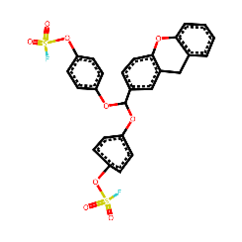 O=S(=O)(F)Oc1ccc(OC(Oc2ccc(OS(=O)(=O)F)cc2)c2ccc3c(c2)Cc2ccccc2O3)cc1